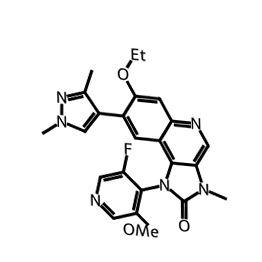 CCOc1cc2ncc3c(c2cc1-c1cn(C)nc1C)n(-c1c(F)cncc1OC)c(=O)n3C